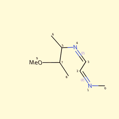 C/N=C\C=N/C(C)C(C)OC